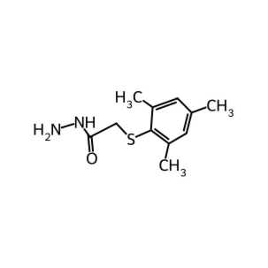 Cc1cc(C)c(SCC(=O)NN)c(C)c1